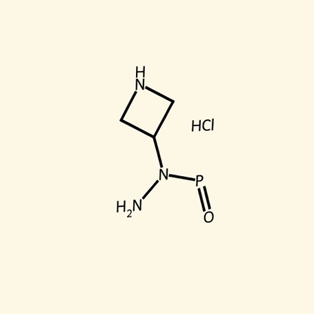 Cl.NN(P=O)C1CNC1